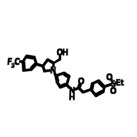 CCS(=O)(=O)c1ccc(CC(=O)Nc2ccc(N3CC(c4ccc(C(F)(F)F)cc4)C[C@H]3CO)cc2)cc1